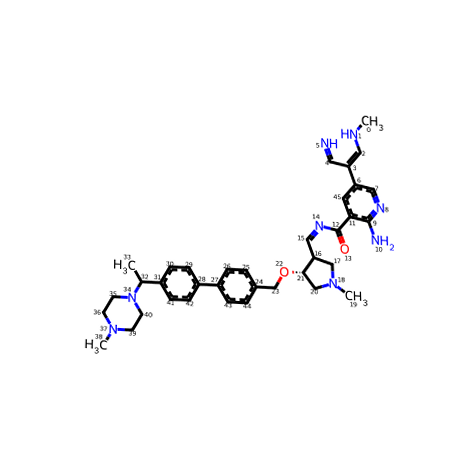 CN/C=C(\C=N)c1cnc(N)c(C(=O)/N=C\C2CN(C)C[C@@H]2OCc2ccc(-c3ccc(C(C)N4CCN(C)CC4)cc3)cc2)c1